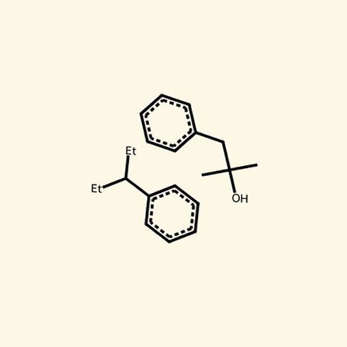 CC(C)(O)Cc1ccccc1.CCC(CC)c1ccccc1